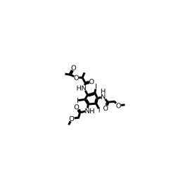 COCC(=O)Nc1c(I)c(NC(=O)COC)c(I)c(NC(=O)C(C)OC(C)=O)c1I